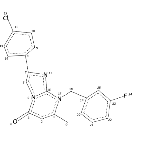 Cc1cc(=O)n2cc(-c3ccc(Cl)cc3)nc2n1Cc1cccc(F)c1